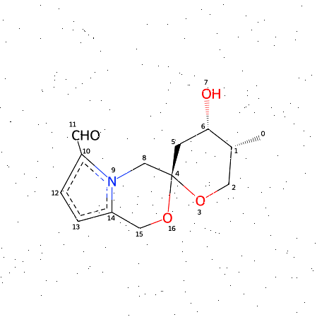 C[C@@H]1CO[C@@]2(C[C@@H]1O)Cn1c(C=O)ccc1CO2